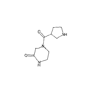 O=C1CN(C(=O)C2CCNC2)CCN1